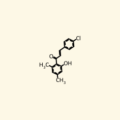 Cc1cc(C)c(C(=O)C=Cc2ccc(Cl)cc2)c(O)c1